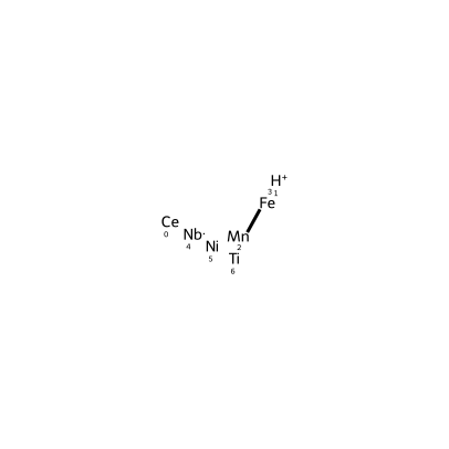 [Ce].[H+].[Mn][Fe].[Nb].[Ni].[Ti]